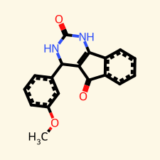 COc1cccc(C2NC(=O)NC3=C2C(=O)c2ccccc23)c1